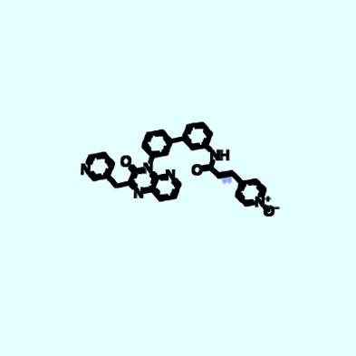 O=C(/C=C/c1cc[n+]([O-])cc1)Nc1cccc(-c2cccc(-n3c(=O)c(Cc4cccnc4)nc4cccnc43)c2)c1